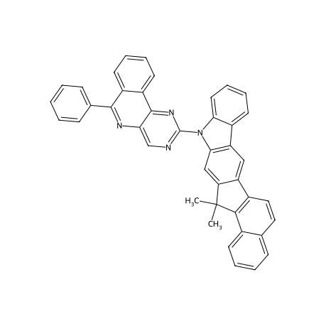 CC1(C)c2cc3c(cc2-c2ccc4ccccc4c21)c1ccccc1n3-c1ncc2nc(-c3ccccc3)c3ccccc3c2n1